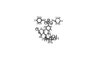 C[C@]12C[C@H](c3ccc(P(=O)(OCC4=CC=CCC4)OCc4ccccc4)cc3)C3=C4CCC(=O)C=C4CC[C@H]3[C@@H]1CCC2=O